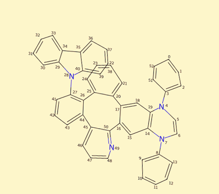 c1ccc(-n2ccn(-c3ccccc3)c3cc4c(cc32)c2ccccc2c2c(-n3c5ccccc5c5ccccc53)cccc2c2cccnc42)cc1